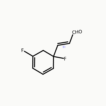 O=C/C=C/C1(F)C=CC=C(F)C1